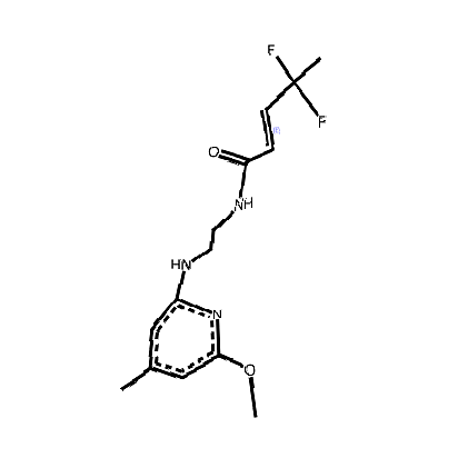 COc1cc(C)cc(NCCNC(=O)/C=C/C(C)(F)F)n1